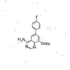 COc1cc(-c2ccc(F)cc2)cc2c(N)ncnc12